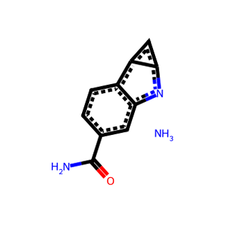 N.NC(=O)c1ccc2c3cc-3nc2c1